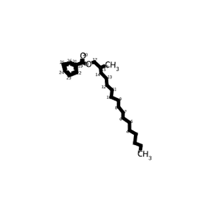 CCCCCCCCCCCCCCCC(C)COC(=O)c1ccccc1